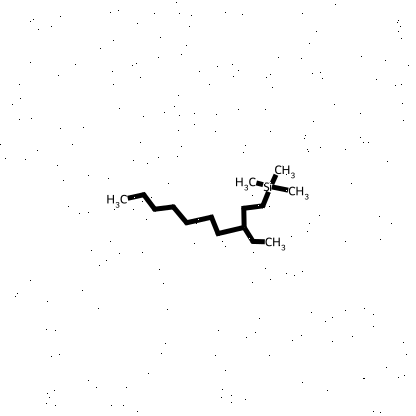 CCCCCCCC(CC)CC[Si](C)(C)C